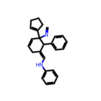 C=NC1(C2=CCCC2)C=CCC(=CNc2ccccc2)C1c1ccccc1